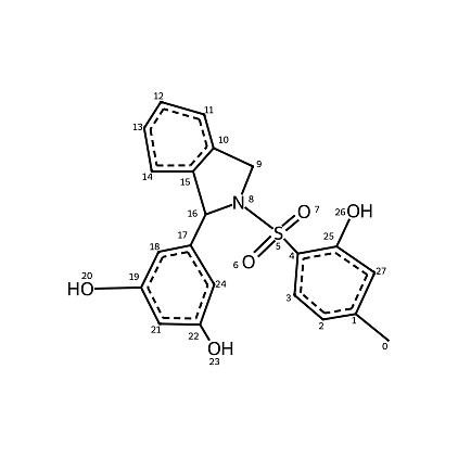 Cc1ccc(S(=O)(=O)N2Cc3ccccc3C2c2cc(O)cc(O)c2)c(O)c1